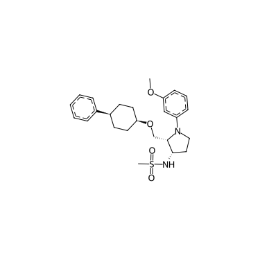 COc1cccc(N2CC[C@H](NS(C)(=O)=O)[C@@H]2CO[C@H]2CC[C@@H](c3ccccc3)CC2)c1